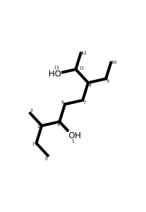 CCC(C)C(O)CCC(CC)C(C)O